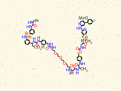 CCCNC(=O)Nc1cccc(S(=O)(=O)Nc2cccc(C(CC(=O)O)NC(=O)Nc3ccc(NC(=O)NCCOCCOCCOCCC(=O)NC(C(=O)NC(C)C(=O)Nc4ccc(COC(=O)NCC(=O)N=S(C)(=O)Cc5ccnc(Nc6cc(-c7ccc(F)cc7OC)c(F)cn6)c5)cc4)C(C)C)cc3)c2)c1